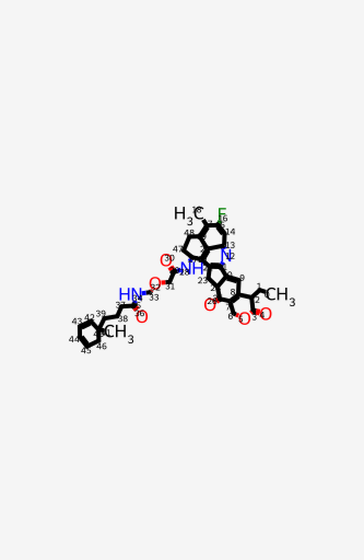 CCC1C(=O)OCC2=C1C=C1c3nc4cc(F)c(C)c5c4c(c3CC1C2=O)C(NC(=O)COCNC(=O)CCCC1(C)C=CC=CC1)CC5